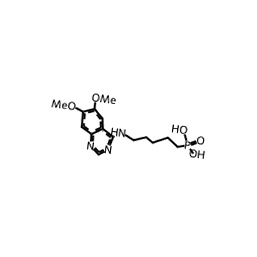 COc1cc2ncnc(NCCCCCP(=O)(O)O)c2cc1OC